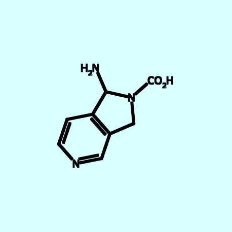 NC1c2ccncc2CN1C(=O)O